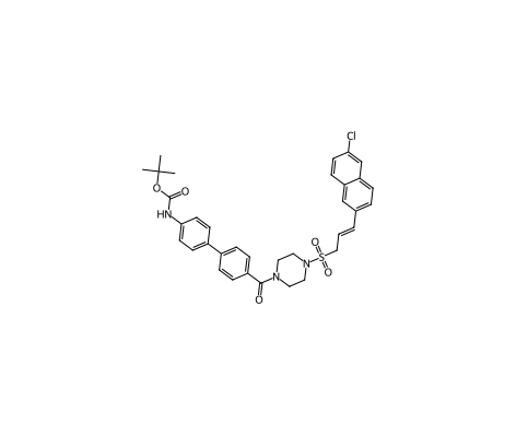 CC(C)(C)OC(=O)Nc1ccc(-c2ccc(C(=O)N3CCN(S(=O)(=O)CC=Cc4ccc5cc(Cl)ccc5c4)CC3)cc2)cc1